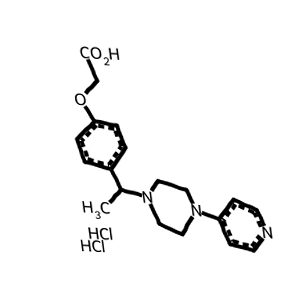 CC(c1ccc(OCC(=O)O)cc1)N1CCN(c2ccncc2)CC1.Cl.Cl